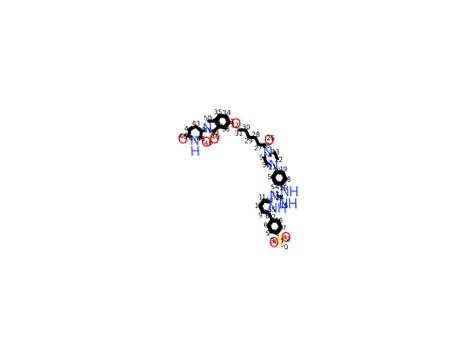 CS(=O)(=O)c1ccc(-c2ccc/c(=N/C(=N)Nc3ccc(N4CCN(C(=O)CCCCCOc5ccc6c(c5)C(=O)N(C5CCC(=O)NC5=O)C6)CC4)cc3)[nH]2)cc1